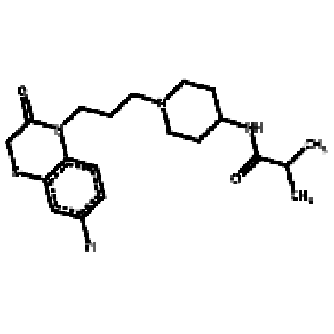 CC(C)C(=O)NC1CCN(CCCN2C(=O)CSc3cc(Cl)ccc32)CC1